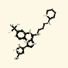 Oc1cc(-c2cnc3c(NCCCOC4CCCCO4)nc4cc(C(F)(F)F)ccc4n23)[nH]n1